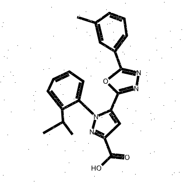 Cc1cccc(-c2nnc(-c3cc(C(=O)O)nn3-c3ccccc3C(C)C)o2)c1